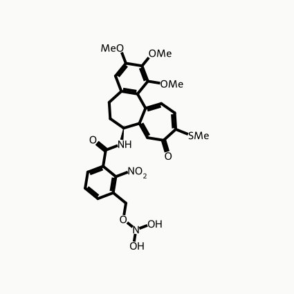 COc1cc2c(c(OC)c1OC)-c1ccc(SC)c(=O)cc1[C@@H](NC(=O)c1cccc(CON(O)O)c1[N+](=O)[O-])CC2